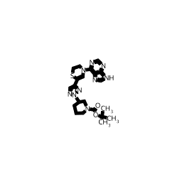 CC(C)(C)OC(=O)N1CCCC(n2ncc(C3=CN(c4ncnc5[nH]cnc45)CCS3)n2)C1